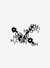 CC(C)[C@H](NC(=O)OCc1ccccc1)C(=O)N[C@@H](CSCCNC(=O)OC(C)(C)C)C(=O)Nc1ccc(CO)cc1